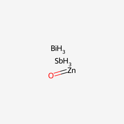 [BiH3].[O]=[Zn].[SbH3]